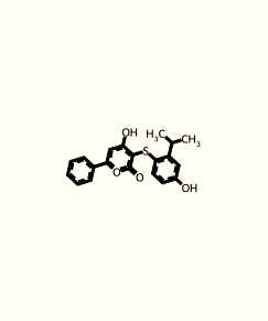 CC(C)c1cc(O)ccc1Sc1c(O)cc(-c2ccccc2)oc1=O